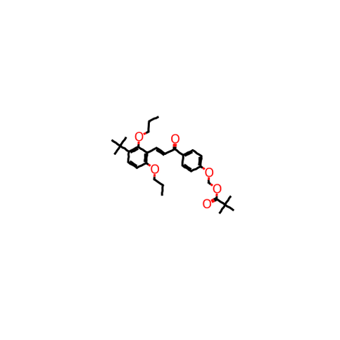 CCCOc1ccc(C(C)(C)C)c(OCCC)c1C=CC(=O)c1ccc(OCOC(=O)C(C)(C)C)cc1